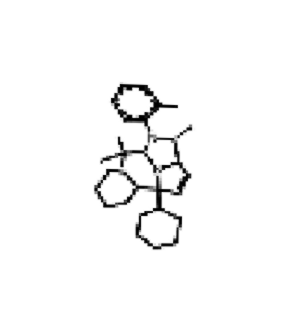 Cc1ccccc1N1C(C(C)(C)C)N2C(C=CC2(C2CCCCC2)C2CCCCC2)[C@@H]1C